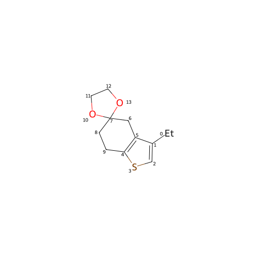 CCc1csc2c1CC1(CC2)OCCO1